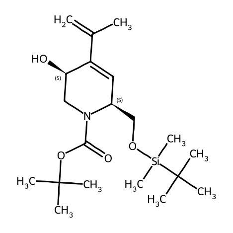 C=C(C)C1=C[C@@H](CO[Si](C)(C)C(C)(C)C)N(C(=O)OC(C)(C)C)C[C@H]1O